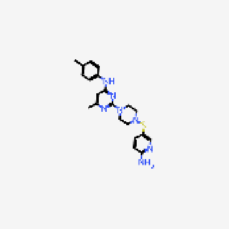 Cc1ccc(Nc2cc(C)nc(N3CCN(Sc4ccc(N)nc4)CC3)n2)cc1